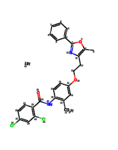 Cc1oc(-c2ccccc2)nc1CCOc1ccc(NC(=O)c2ccc(Cl)cc2Cl)c(C(=O)O)c1.[LiH]